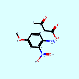 CC(=O)CC(=O)O.COc1ccc(N)c([N+](=O)[O-])c1